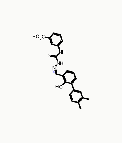 Cc1ccc(-c2cccc(/C=N\NC(=S)Nc3cccc(C(=O)O)c3)c2O)cc1C